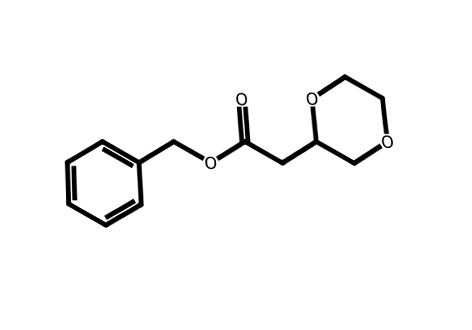 O=C(CC1COCCO1)OCc1ccccc1